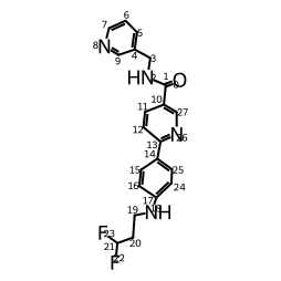 O=C(NCc1cccnc1)c1ccc(-c2ccc(NCCC(F)F)cc2)nc1